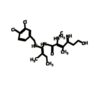 CC/C(C)=C(/NCc1ccc(Cl)c(Cl)c1)NC(=O)/C(NC)=C(\C)C(=N)CCO